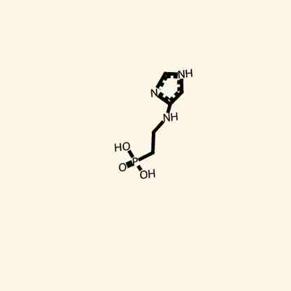 O=P(O)(O)CCNc1c[nH]cn1